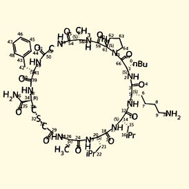 CCCC[C@@H]1NC(=O)[C@H](CCCCN)NC(=O)[C@H](CC(C)C)NC(=O)[C@H](CC(C)C)NC(=O)[C@H](C)NC(=O)CSC[C@@H](C(N)=O)NC(=O)[C@H](Cc2ccccc2)NC(=O)CNC(=O)[C@H](C)NC(=O)[C@@H]2CCCN2C1=O